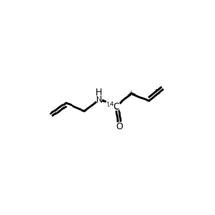 C=C[CH][14C](=O)NCC=C